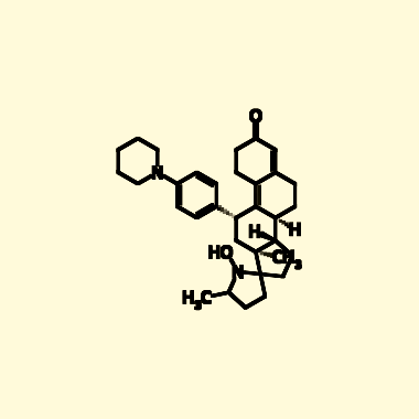 CC1CCC2(CC[C@H]3[C@@H]4CCC5=CC(=O)CCC5=C4[C@@H](c4ccc(N5CCCCC5)cc4)C[C@@]32C)N1O